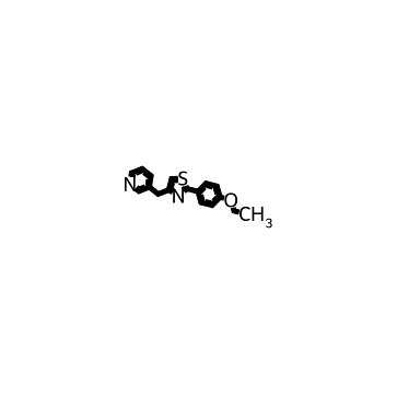 CCOc1ccc(-c2nc(Cc3cccnc3)cs2)cc1